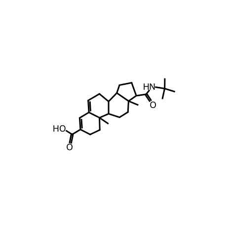 CC(C)(C)NC(=O)C1CCC2C3CC=C4C=C(C(=O)O)CCC4(C)C3CCC12C